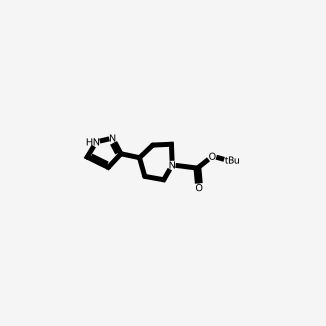 CC(C)(C)OC(=O)N1CCC(c2[c]c[nH]n2)CC1